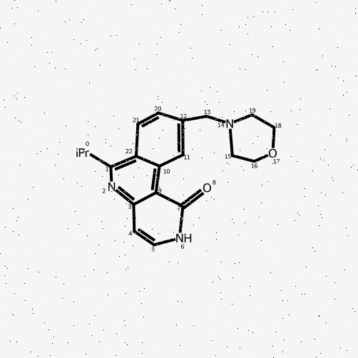 CC(C)c1nc2cc[nH]c(=O)c2c2cc(CN3CCOCC3)ccc12